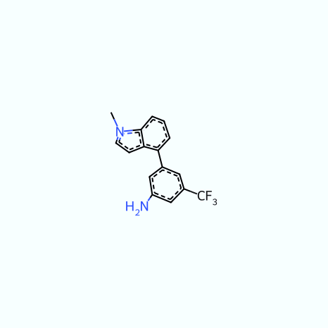 Cn1ccc2c(-c3cc(N)cc(C(F)(F)F)c3)cccc21